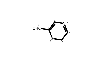 O=[C]C1=CN=CCS1